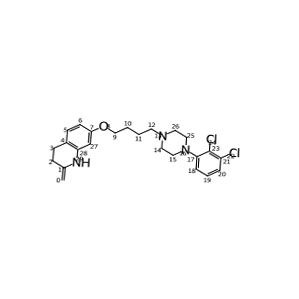 C=C1CCc2ccc(OCCCCN3CCN(c4cccc(Cl)c4Cl)CC3)cc2N1